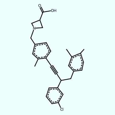 Cc1ccc(CC(C#Cc2ccc(CN3CC(C(=O)O)C3)cc2C)c2cccc(Cl)c2)cc1C